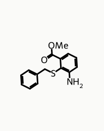 COC(=O)c1cccc(N)c1SCc1ccccc1